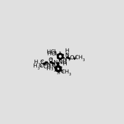 CCOCC(=N)N[C@@H]1CCCC[C@@H]1Nc1nc(C(=O)NCC(C)(C)C)nc2ccc(C)cc12.Cl.Cl